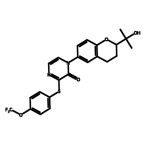 CC(C)(O)C1CCc2cc(-n3ccnc(Sc4ccc(OC(F)(F)F)cc4)c3=O)ccc2O1